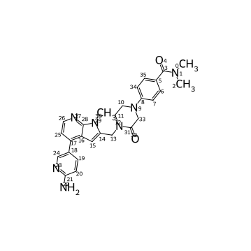 CN(C)C(=O)c1ccc(N2CCN(Cc3cc4c(-c5ccc(N)nc5)ccnc4n3C)C(=O)C2)cc1